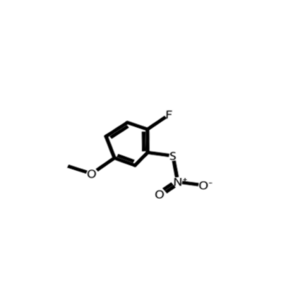 COc1ccc(F)c(S[N+](=O)[O-])c1